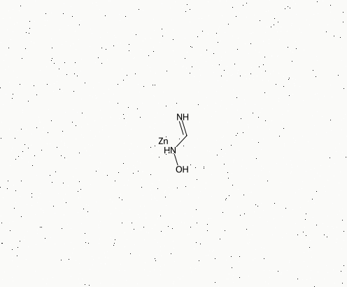 N=CNO.[Zn]